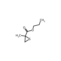 CCCOC(=O)C1(C)CS1